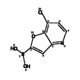 OB(O)c1cc2nccc(Cl)c2o1